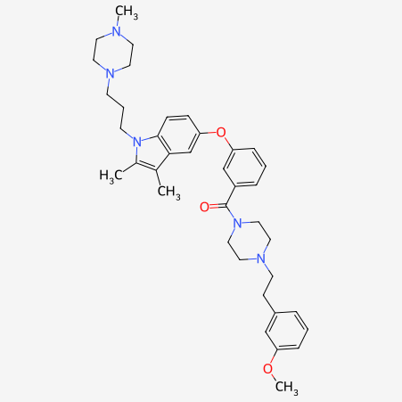 COc1cccc(CCN2CCN(C(=O)c3cccc(Oc4ccc5c(c4)c(C)c(C)n5CCCN4CCN(C)CC4)c3)CC2)c1